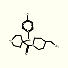 CCC1CCN(C(=O)C2(Nc3ccc(Cl)cc3)CCNCC2)CC1